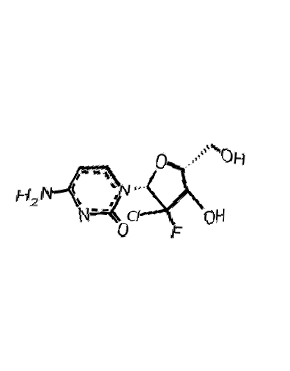 Nc1ccn([C@@H]2O[C@H](CO)C(O)C2(F)Cl)c(=O)n1